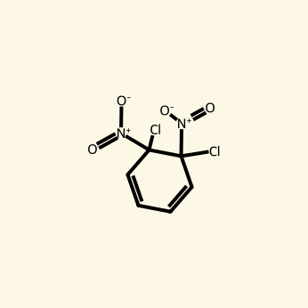 O=[N+]([O-])C1(Cl)C=CC=CC1(Cl)[N+](=O)[O-]